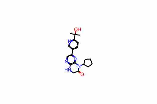 CC(C)(O)c1ccc(-c2cnc3c(n2)N(C2CCCC2)C(=O)CN3)cn1